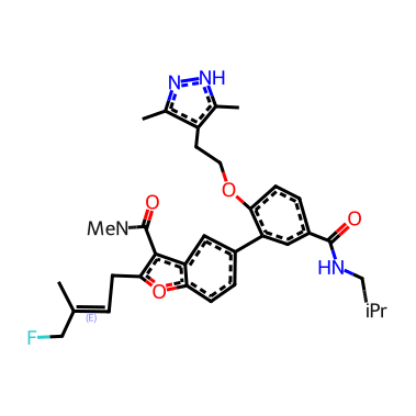 CNC(=O)c1c(C/C=C(\C)CF)oc2ccc(-c3cc(C(=O)NCC(C)C)ccc3OCCc3c(C)n[nH]c3C)cc12